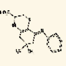 CC1(C)CC2=C(SCC(C(=O)O)N2)/C(=N/c2ccccc2)C1